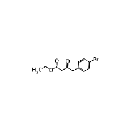 CCOC(=O)CC(=O)Cc1ccc(Br)cc1